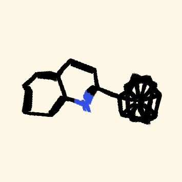 c1ccc2nc([C]34[CH]5[CH]6[CH]7[CH]3[Fe]6754389%10[CH]4[CH]3[CH]8[CH]9[CH]4%10)ccc2c1